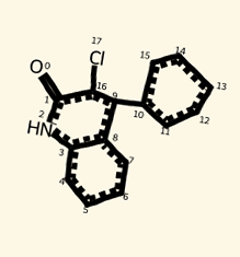 O=c1[nH]c2ccccc2c(-c2ccccc2)c1Cl